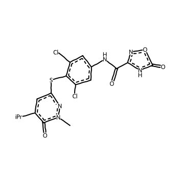 CC(C)c1cc(Sc2c(Cl)cc(NC(=O)c3noc(=O)[nH]3)cc2Cl)nn(C)c1=O